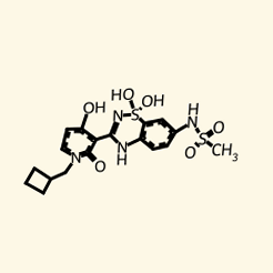 CS(=O)(=O)Nc1ccc2c(c1)S(O)(O)N=C(c1c(O)ccn(CC3CCC3)c1=O)N2